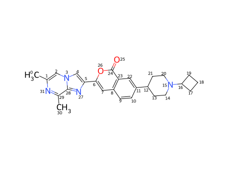 Cc1cn2cc(-c3cc4ccc(C5CCN(C6CCC6)CC5)cc4c(=O)o3)nc2c(C)n1